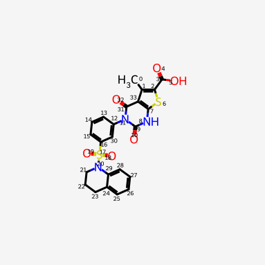 Cc1c(C(=O)O)sc2[nH]c(=O)n(-c3cccc(S(=O)(=O)N4CCCc5ccccc54)c3)c(=O)c12